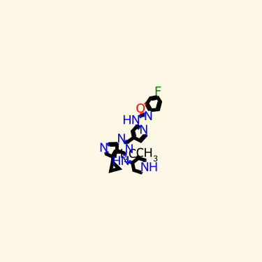 CC1(C)CNCCC1Nc1nc(-c2ccnc(Nc3nc4ccc(F)cc4o3)c2)nc2cncc(C3CC3)c12